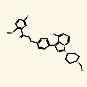 COc1ccc(F)cc1C(=O)CCc1ccc(-c2nc([C@H]3CC[C@H](CN)CC3)n3ccnc(N)c23)cc1